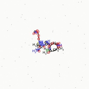 COc1cc2cc(c1Cl)N(C)C(=O)C[C@H](OC(=O)Nc1ccc(NC(=O)[C@H](CCCNC(N)=O)NC(=O)[C@@H](NC(=S)NCCOCCOCCC(=O)ON3C(=O)CCC3=O)C(C)C)c3cccnc13)[C@]1(C)O[C@H]1C[C@@H]1C[C@@](O)(NC(=O)O1)[C@H](OC)/C=C/C=C(\C)C2